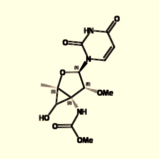 COC(=O)N[C@]12C(O)[C@@]1(C)O[C@@H](n1ccc(=O)[nH]c1=O)[C@@H]2OC